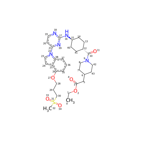 CCOC(=O)CC1CCN(C(=O)[C@H]2CC[C@H](Nc3nccc(-n4ccc5c(OCCCS(C)(=O)=O)cccc54)n3)CC2)CC1